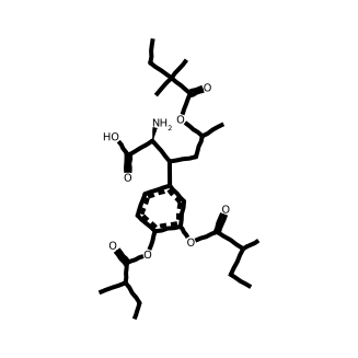 CCC(C)C(=O)Oc1ccc(C(CC(C)OC(=O)C(C)(C)CC)[C@H](N)C(=O)O)cc1OC(=O)C(C)CC